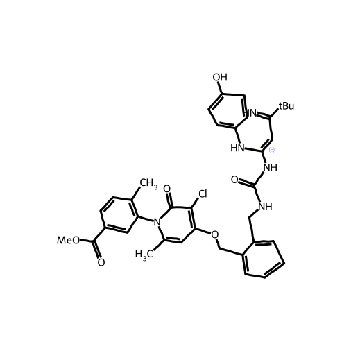 COC(=O)c1ccc(C)c(-n2c(C)cc(OCc3ccccc3CNC(=O)N/C(=C/C(=N)C(C)(C)C)Nc3ccc(O)cc3)c(Cl)c2=O)c1